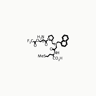 CSCCC(NC(=O)CN(Cc1cccc2ccccc12)C[C@@H]1CCCN1C(=O)[C@@H](N)COC(=O)C(F)(F)F)C(=O)O